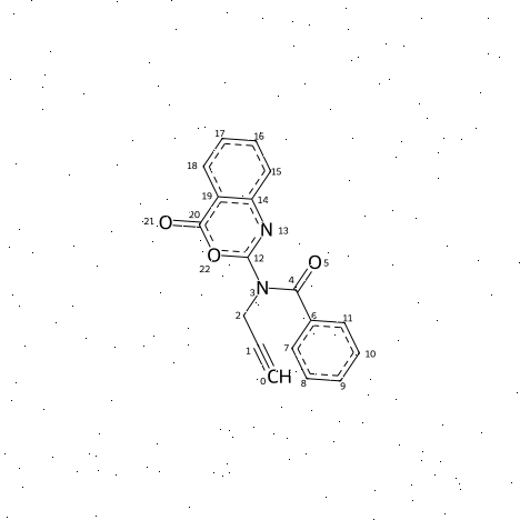 C#CCN(C(=O)c1ccccc1)c1nc2ccccc2c(=O)o1